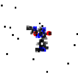 CCc1coc(-c2cnn3c(=O)cc(-c4ccc5c(cnn5CC)c4)[nH]c23)n1